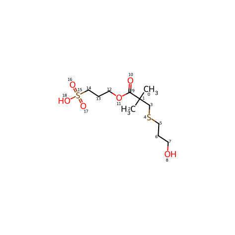 CC(C)(CSCCCO)C(=O)OCCCS(=O)(=O)O